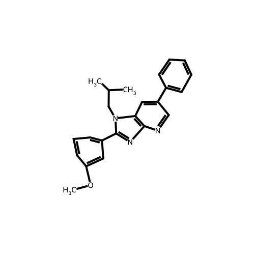 COc1cccc(-c2nc3ncc(-c4ccccc4)cc3n2CC(C)C)c1